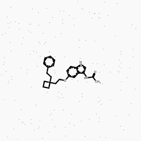 CC(=O)Nc1c[nH]c2ccc(OCCC3(CCc4ccccc4)CCC3)cc12